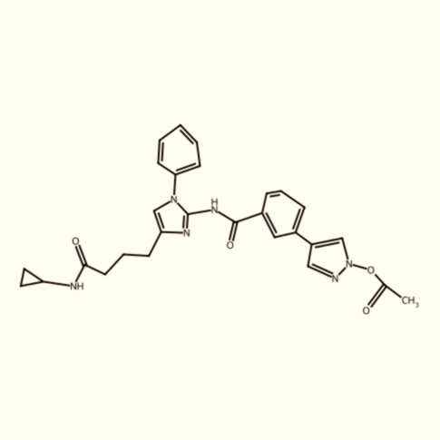 CC(=O)On1cc(-c2cccc(C(=O)Nc3nc(CCCC(=O)NC4CC4)cn3-c3ccccc3)c2)cn1